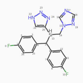 Fc1ccc(C(c2ccc(F)cc2)[SiH](Cn2cncn2)c2c[nH]nn2)cc1